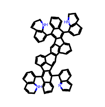 C1=Cc2cccc(-c3c4ccccc4c(-c4cccc5c4NCC=C5)c4c5cc6c(cc7c8c(-c9cccc%10cccnc9%10)c9ccccc9c(-c9cccc%10c9NCC=C%10)c8c8cccc6c87)c6cccc(c34)c65)c2NC1